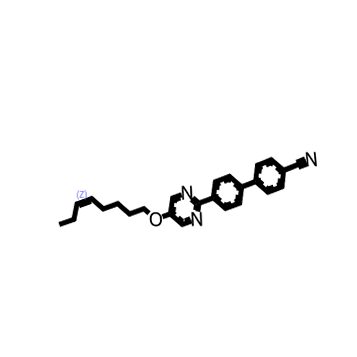 CC/C=C\CCCCOc1cnc(-c2ccc(-c3ccc(C#N)cc3)cc2)nc1